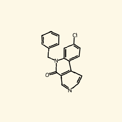 O=c1c2cnccc2c2ccc(Cl)cc2n1Cc1ccccc1